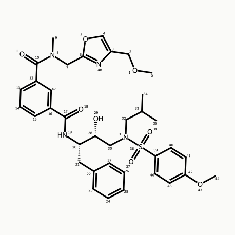 COCc1coc(CN(C)C(=O)c2cccc(C(=O)N[C@@H](Cc3ccccc3)[C@H](O)CN(CC(C)C)S(=O)(=O)c3ccc(OC)cc3)c2)n1